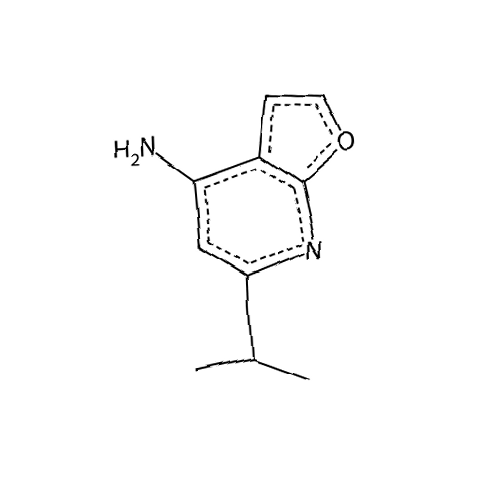 CC(C)c1cc(N)c2ccoc2n1